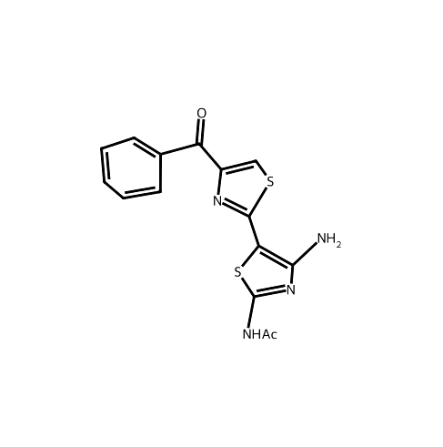 CC(=O)Nc1nc(N)c(-c2nc(C(=O)c3ccccc3)cs2)s1